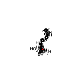 Cc1ccc(F)c(NC(=O)Nc2ccc(Oc3ccnc(-c4cc(C(=O)NC(CC(O)CO)(C(=O)O)C(CC(=O)O)CC(O)CO)c[nH]4)c3)cc2)c1